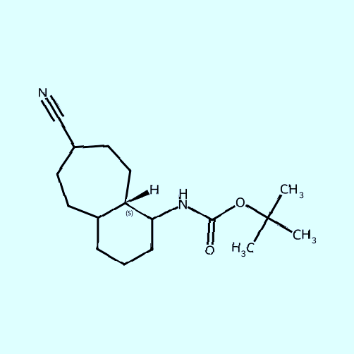 CC(C)(C)OC(=O)NC1CCCC2CCC(C#N)CC[C@@H]21